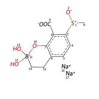 C[S+]([O-])c1ccc2c(c1C(=O)[O-])O[B-](O)(O)CC2.[Na+].[Na+]